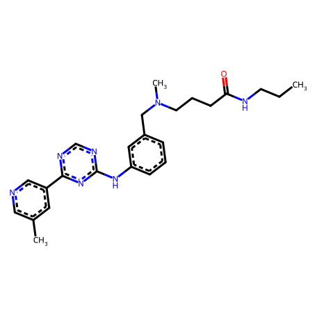 CCCNC(=O)CCCN(C)Cc1cccc(Nc2ncnc(-c3cncc(C)c3)n2)c1